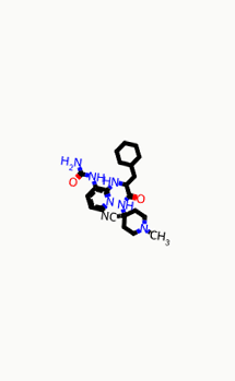 CN1CCC(C#N)(NC(=O)C(CC2CCCCC2)Nc2ncccc2NC(N)=O)CC1